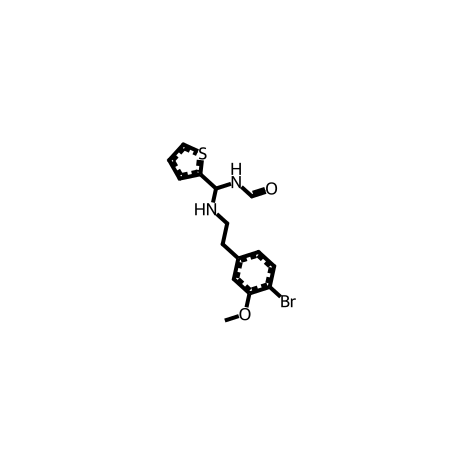 COc1cc(CCNC(NC=O)c2cccs2)ccc1Br